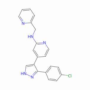 Clc1ccc(-c2n[nH]cc2-c2ccnc(NCc3ccccn3)c2)cc1